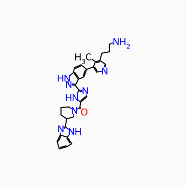 Cc1c(CCCN)cncc1-c1ccc2[nH]nc(-c3ncc(C(=O)N4CCCC(c5nc6ccccc6[nH]5)C4)[nH]3)c2c1